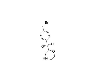 O=S(=O)(c1ccc(CBr)cc1)C1CNCCO1